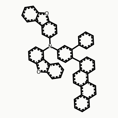 c1ccc(-c2cc(N(c3ccc4oc5ccccc5c4c3)c3cccc4oc5ccccc5c34)ccc2-c2cccc3c2ccc2c4ccccc4ccc32)cc1